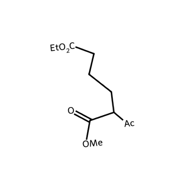 CCOC(=O)CCCC(C(C)=O)C(=O)OC